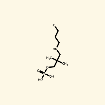 CC(C)(CNCCC[O])COP(=O)(O)O